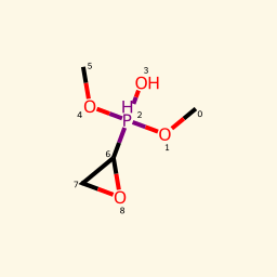 CO[PH](O)(OC)C1CO1